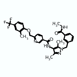 CNC(=O)c1cccc(Cn2nc(C)c(NC(=O)c3ccc(COc4ccc(C(F)(F)F)cc4C)nc3)c2C)c1